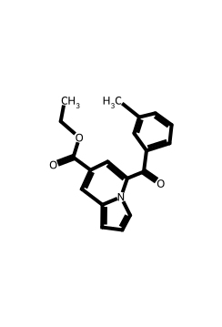 CCOC(=O)c1cc(C(=O)c2cccc(C)c2)n2cccc2c1